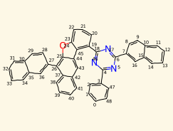 c1ccc(-c2nc(-c3ccc4ccccc4c3)nc(-c3cccc4oc5c(-c6ccc7ccccc7c6)c6ccccc6cc5c34)n2)cc1